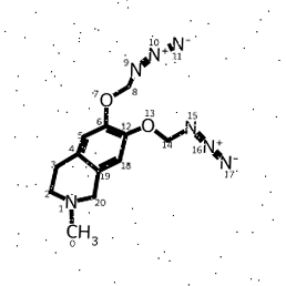 CN1CCc2cc(OCN=[N+]=[N-])c(OCN=[N+]=[N-])cc2C1